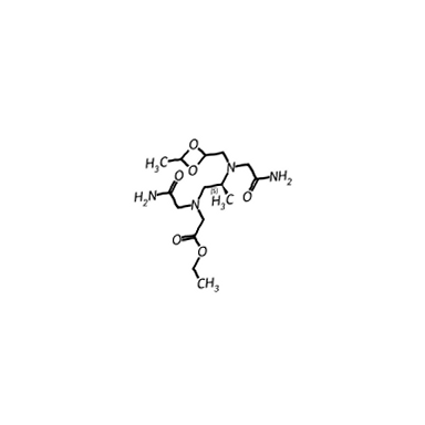 CCOC(=O)CN(CC(N)=O)C[C@H](C)N(CC(N)=O)CC1OC(C)O1